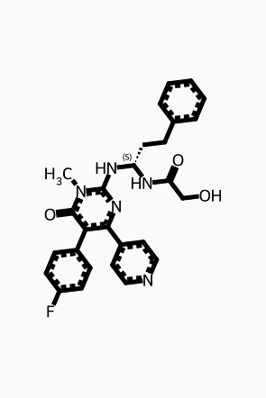 Cn1c(N[C@H](CCc2ccccc2)NC(=O)CO)nc(-c2ccncc2)c(-c2ccc(F)cc2)c1=O